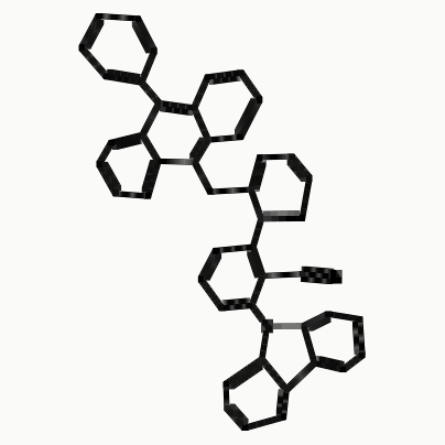 N#Cc1c(-c2ccccc2Cc2c3ccccc3c(-c3ccccc3)c3ccccc23)cccc1-n1c2ccccc2c2ccccc21